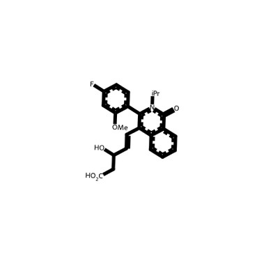 COc1cc(F)ccc1-c1c(/C=C/C(O)CC(=O)O)c2ccccc2c(=O)n1C(C)C